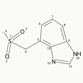 [CH2]S(=O)(=O)Cc1cccc2[nH]cnc12